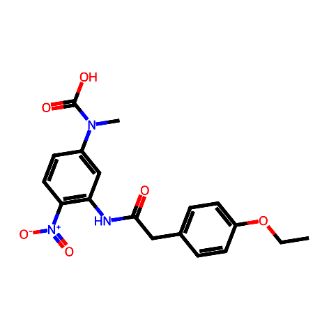 CCOc1ccc(CC(=O)Nc2cc(N(C)C(=O)O)ccc2[N+](=O)[O-])cc1